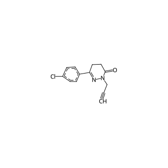 C#CCN1N=C(c2ccc(Cl)cc2)CCC1=O